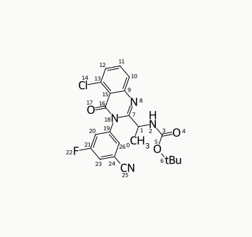 CC(NC(=O)OC(C)(C)C)c1nc2cccc(Cl)c2c(=O)n1-c1cc(F)cc(C#N)c1